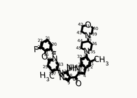 Cc1cc2cc(C(=O)c3cnn(-c4cnc(Oc5c(F)cccc5F)cc4C)c3N)[nH]c2cc1N1CCC(N2CCOCC2)CC1